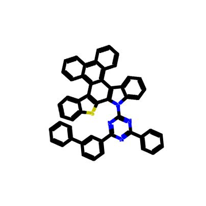 c1ccc(-c2cccc(-c3nc(-c4ccccc4)nc(-n4c5ccccc5c5c6c7ccccc7c7ccccc7c6c6c7ccccc7sc6c54)n3)c2)cc1